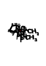 CCC(CC)C1CC2CCC(C1)N2C(=O)C(F)(F)F